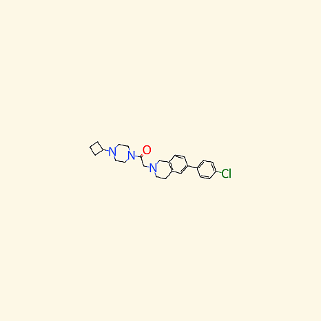 O=C(CN1CCc2cc(-c3ccc(Cl)cc3)ccc2C1)N1CCN(C2CCC2)CC1